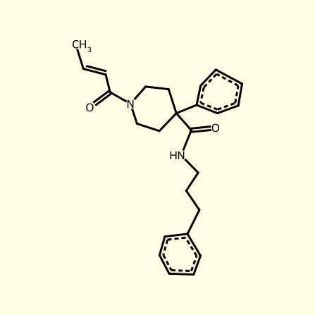 C/C=C/C(=O)N1CCC(C(=O)NCCCc2ccccc2)(c2ccccc2)CC1